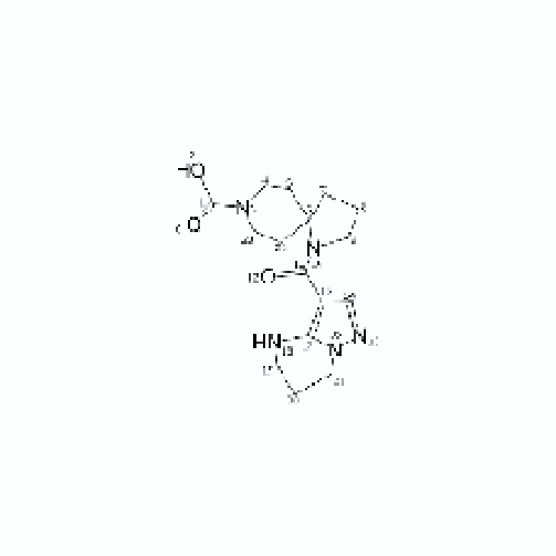 O=C(O)N1CCC2(CCCN2C(=O)c2cnn3c2NCCC3)CC1